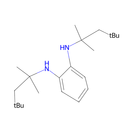 CC(C)(C)CC(C)(C)Nc1ccccc1NC(C)(C)CC(C)(C)C